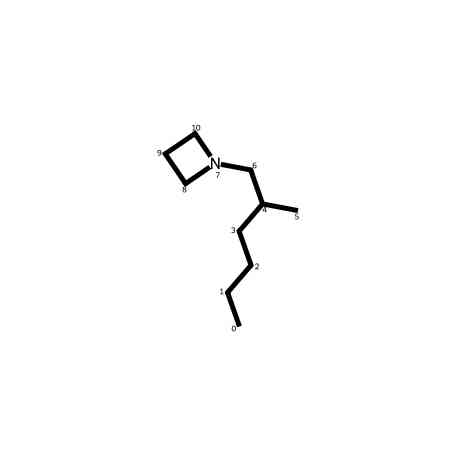 CCCCC(C)CN1CCC1